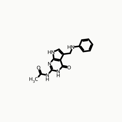 CC(=O)Nc1nc2[nH]cc(CNc3ccccc3)c2c(=O)[nH]1